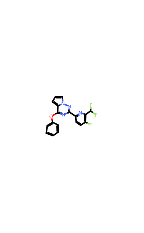 Fc1ccc(-c2nc(Oc3ccccc3)c3cccn3n2)nc1C(F)F